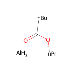 CCCCC(=O)OCCC.[AlH3]